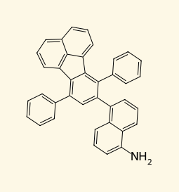 Nc1cccc2c(-c3cc(-c4ccccc4)c4c(c3-c3ccccc3)-c3cccc5cccc-4c35)cccc12